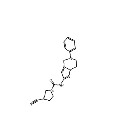 N#CN1CC[C@H](C(=O)Nc2cc3n(n2)CCN(c2ccccc2)C3)C1